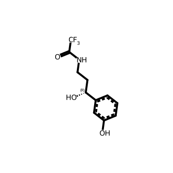 O=C(NCC[C@@H](O)c1cccc(O)c1)C(F)(F)F